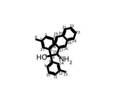 Cc1cccc(C(O)(c2cccc(C)c2)C(N)c2ccc3ccccc3c2)c1